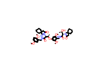 COc1ccc(OC)c(CNC(=O)[C@H]([C@@H](C)Oc2cc(OC)c(CNC(=O)[C@H]([C@@H](C)O)N3CC4(CCCCC4)CC3=O)c(OC)c2)N2CC3(CCCCC3)CC2=O)c1